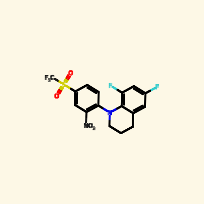 O=[N+]([O-])c1cc(S(=O)(=O)C(F)(F)F)ccc1N1CCCc2cc(F)cc(F)c21